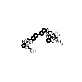 CCCC(=O)N1[C@@H]2CC[C@@H](C2)[C@H]1c1ncc(-c2ccc3cc(-c4ccc5c(ccc6nc(CN(CCC)C(=O)[C@H](NC(=O)OC)c7ccccc7)[nH]c65)c4)ccc3c2)[nH]1